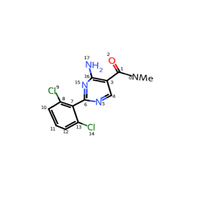 CNC(=O)c1cnc(-c2c(Cl)cccc2Cl)nc1N